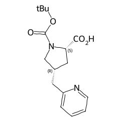 CC(C)(C)OC(=O)N1C[C@@H](Cc2ccccn2)C[C@H]1C(=O)O